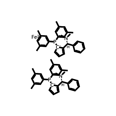 Cc1cc(C)cc(P(c2cc(C)cc(C)c2)[c-]2cccc2[C@@H](c2ccccc2)N(C)C)c1.Cc1cc(C)cc(P(c2cc(C)cc(C)c2)[c-]2cccc2[C@@H](c2ccccc2)N(C)C)c1.[Fe+2]